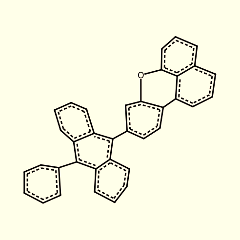 c1ccc(-c2c3ccccc3c(-c3ccc4c(c3)Oc3cccc5cccc-4c35)c3ccccc23)cc1